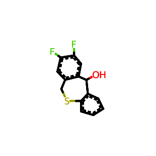 OC1c2cc(F)c(F)cc2CSc2ccccc21